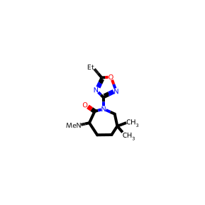 CCc1nc(N2CC(C)(C)CCC(NC)C2=O)no1